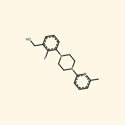 Cc1cccc(N2CCN(c3cccc(CO)c3F)CC2)n1